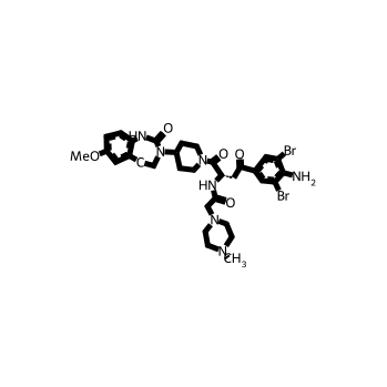 COc1ccc2c(c1)CCN(C1CCN(C(=O)[C@H](CC(=O)c3cc(Br)c(N)c(Br)c3)NC(=O)CN3CCN(C)CC3)CC1)C(=O)N2